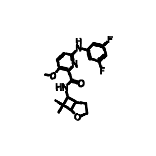 COc1ccc(Nc2cc(F)cc(F)c2)nc1C(=O)NC1C2CCOC2C1(C)C